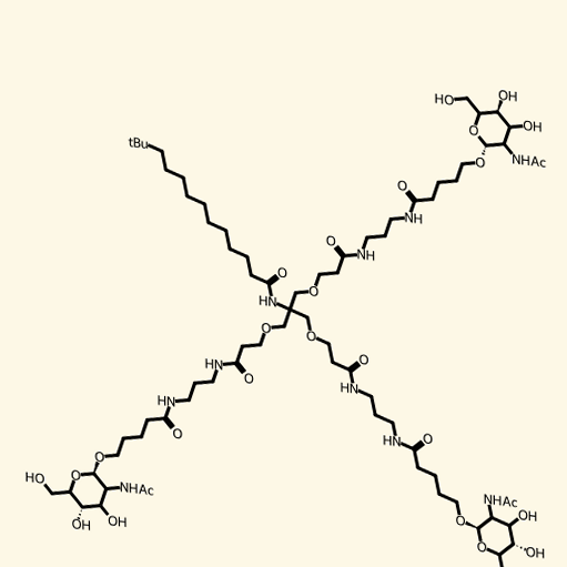 CC(=O)NC1C(O)[C@H](O)C(CO)O[C@H]1OCCCCC(=O)NCCCNC(=O)CCOCC(COCCC(=O)NCCCNC(=O)CCCCO[C@@H]1OC(CO)[C@@H](O)C(O)C1NC(C)=O)(COCCC(=O)NCCCNC(=O)CCCCO[C@@H]1OC(CO)[C@@H](O)C(O)C1NC(C)=O)NC(=O)CCCCCCCCCCC(C)(C)C